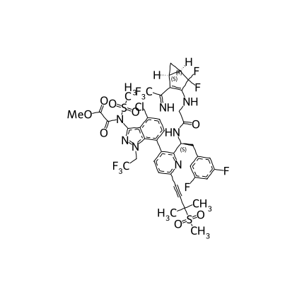 COC(=O)C(=O)N(c1nn(CC(F)(F)F)c2c(-c3ccc(C#CC(C)(C)S(C)(=O)=O)nc3[C@H](Cc3cc(F)cc(F)c3)NC(=O)CNC3=C(C(=N)C(F)(F)F)[C@H]4C[C@H]4C3(F)F)ccc(Cl)c12)S(C)(=O)=O